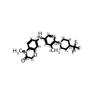 Cc1cc(Nc2ccc3c(c2)OCC(=O)N3C)cnc1N1CCC(C(F)(F)F)CC1